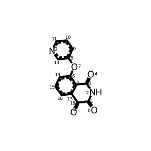 O=C1NC(=O)c2c(Oc3cccnc3)cccc2C1=O